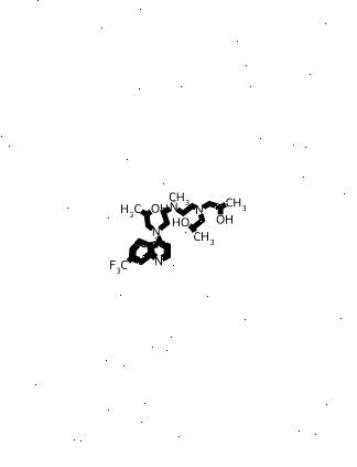 CC(O)CN(CCN(C)CCN(CC(C)O)c1ccnc2cc(C(F)(F)F)ccc12)CC(C)O